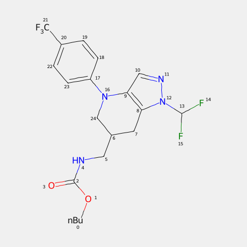 CCCCOC(=O)NCC1Cc2c(cnn2C(F)F)N(c2ccc(C(F)(F)F)cc2)C1